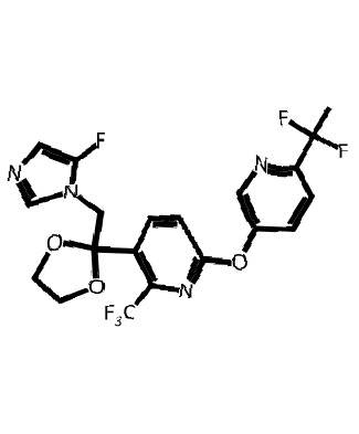 CC(F)(F)c1ccc(Oc2ccc(C3(Cn4cncc4F)OCCO3)c(C(F)(F)F)n2)cn1